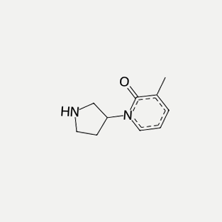 Cc1cccn(C2CCNC2)c1=O